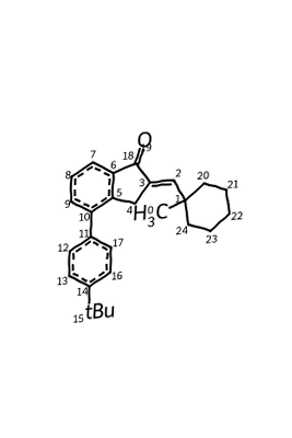 CC1(C=C2Cc3c(cccc3-c3ccc(C(C)(C)C)cc3)C2=O)CCCCC1